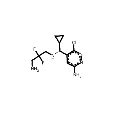 NCC(F)(F)CN[C@@H](c1cc(N)nnc1Cl)C1CC1